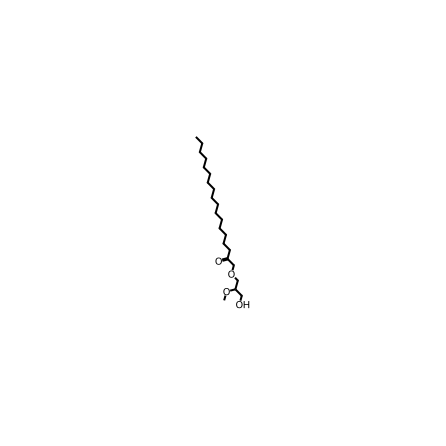 CCCCCCCCCCCCCCCCC(=O)COCC(CO)OC